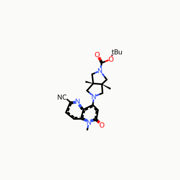 Cn1c(=O)cc(N2C[C@]3(C)CN(C(=O)OC(C)(C)C)C[C@]3(C)C2)c2nc(C#N)ccc21